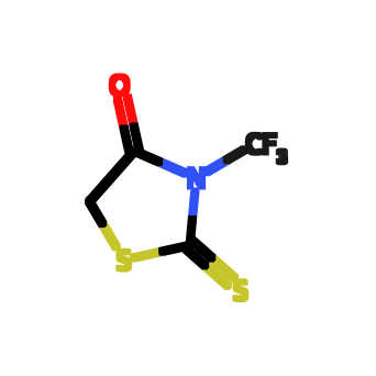 O=C1CSC(=S)N1C(F)(F)F